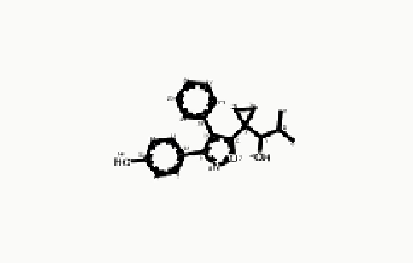 CC(C)C(O)C1(c2onc(-c3ccc(O)cc3)c2-c2ccccc2)CC1